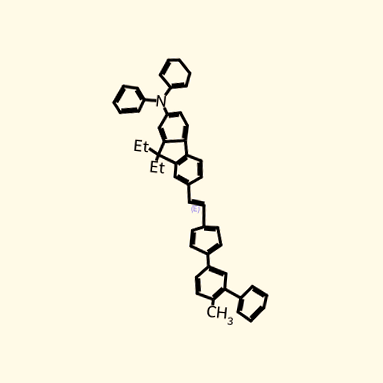 CCC1(CC)c2cc(/C=C/c3ccc(-c4ccc(C)c(-c5ccccc5)c4)cc3)ccc2-c2ccc(N(C3=CCCC=C3)c3ccccc3)cc21